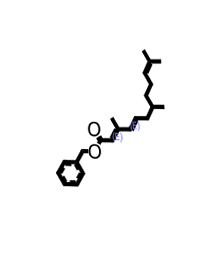 CC(C)=CCCC(C)C/C=C/C(C)=C/C(=O)OCc1ccccc1